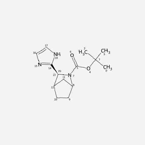 CC(C)(C)OC(=O)N1C2CCC(C2)[C@H]1c1ncc[nH]1